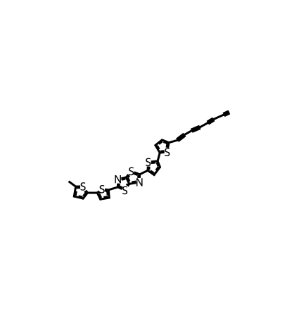 C#CC#CC#CC#Cc1ccc(-c2ccc(-c3nc4sc(-c5ccc(-c6ccc(C)s6)s5)nc4s3)s2)s1